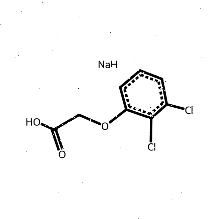 O=C(O)COc1cccc(Cl)c1Cl.[NaH]